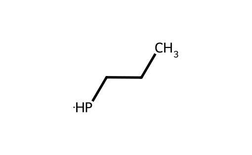 CCC[PH]